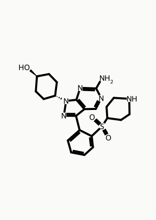 Nc1ncc2c(-c3ccccc3S(=O)(=O)C3CCNCC3)nn([C@H]3CC[C@H](O)CC3)c2n1